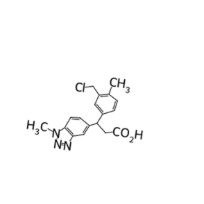 Cc1ccc(C(CC(=O)O)c2ccc3c(c2)nnn3C)cc1CCl